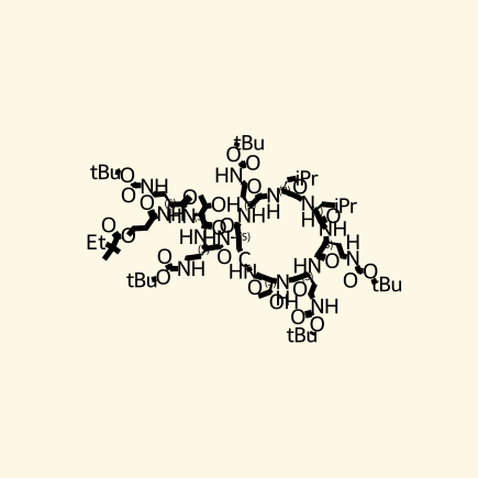 CCC(C)(C)C(=O)OCCC(=O)N[C@@H](CCNC(=O)OC(C)(C)C)C(=O)N[C@H](C(=O)N[C@@H](CCNC(=O)OC(C)(C)C)C(=O)N[C@H]1CCNC(=O)[C@H](C(C)O)NC(=O)[C@H](CCNC(=O)OC(C)(C)C)NC(=O)[C@H](CCNC(=O)OC(C)(C)C)NC(=O)[C@H](CC(C)C)NC(=O)[C@@H](CC(C)C)NC(=O)[C@H](CCNC(=O)OC(C)(C)C)NC1=O)C(C)O